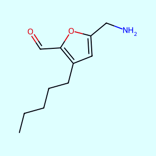 CCCCCc1cc(CN)oc1C=O